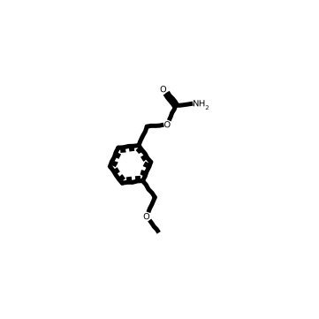 COCc1cccc(COC(N)=O)c1